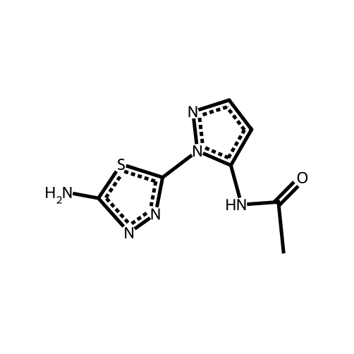 CC(=O)Nc1ccnn1-c1nnc(N)s1